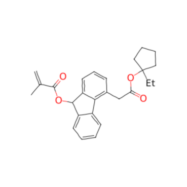 C=C(C)C(=O)OC1c2ccccc2-c2c(CC(=O)OC3(CC)CCCC3)cccc21